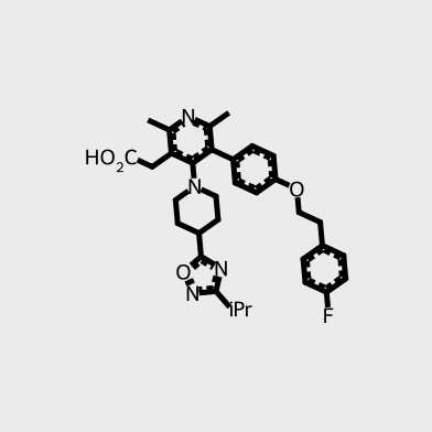 Cc1nc(C)c(-c2ccc(OCCc3ccc(F)cc3)cc2)c(N2CCC(c3nc(C(C)C)no3)CC2)c1CC(=O)O